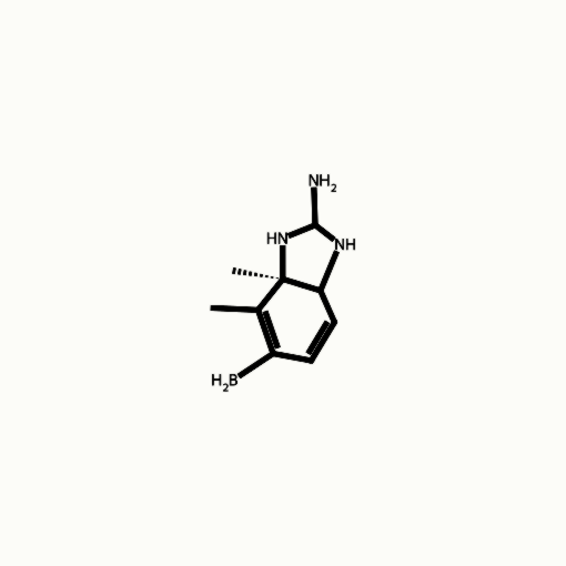 BC1=C(C)[C@@]2(C)NC(N)NC2C=C1